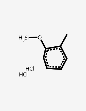 Cc1ccccc1O[SiH3].Cl.Cl